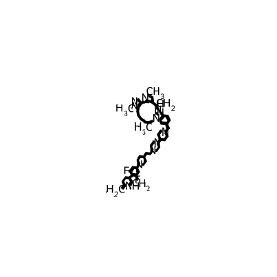 C=C1CCC(c2c(F)cc(N3CCC(CCN4CCN(C5CCN(Cc6ccc7c(c6)N6C[C@H](C)CCCCc8c(cnn8C)-c8cc(cc(C)n8)C(=C)/N=C/6N7)CC5)CC4)CC3)cc2F)C(=C)N1